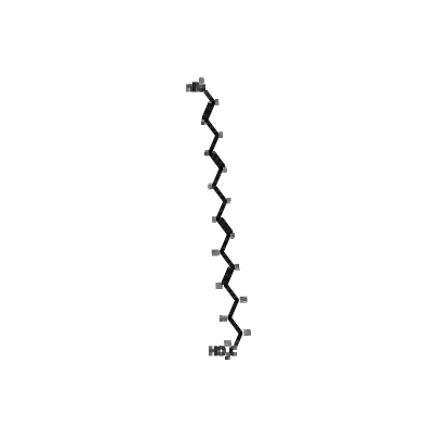 CCCCC=CCC=CCCC=CCC=CCCCC(=O)O